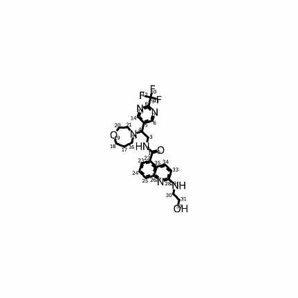 O=C(NCC(c1cnc(C(F)(F)F)nc1)N1CCCOCC1)c1cccc2nc(NCCO)ccc12